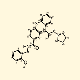 COc1ccccc1CNC(=O)c1ccc2c(c1)N(C(C)CN1CCCC1)c1ccccc1S2